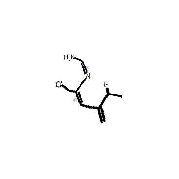 C=C(/C=C(Cl)\N=C/N)C(C)F